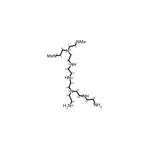 CNCCN(CCNC)CCNCCNCCN(CCN)CCNCCN